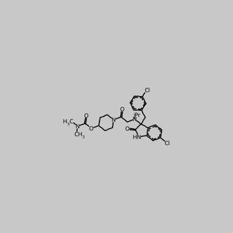 CC(C)N(CC(=O)N1CCC(OC(=O)N(C)C)CC1)C1(Cc2cccc(Cl)c2)C(=O)Nc2cc(Cl)ccc21